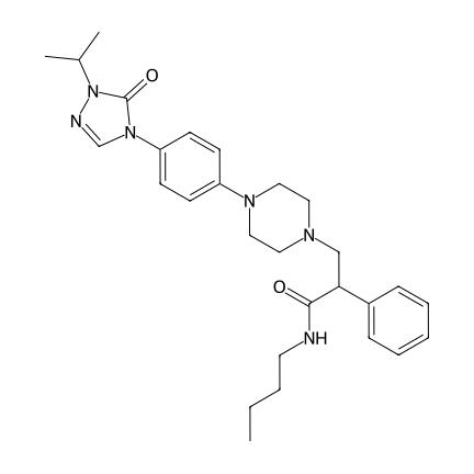 CCCCNC(=O)C(CN1CCN(c2ccc(-n3cnn(C(C)C)c3=O)cc2)CC1)c1ccccc1